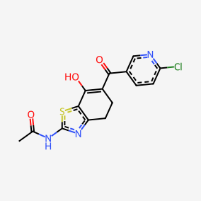 CC(=O)Nc1nc2c(s1)C(O)=C(C(=O)c1ccc(Cl)nc1)CC2